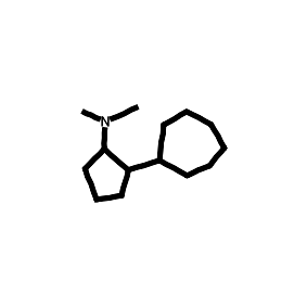 CN(C)C1CCCC1C1CCCCCC1